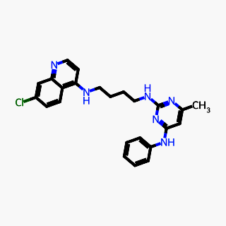 Cc1cc(Nc2ccccc2)nc(NCCCCNc2ccnc3cc(Cl)ccc23)n1